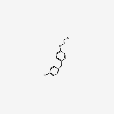 BrCCOc1ccc(Cc2ccc(Br)cc2)cc1